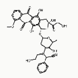 COc1cccc2c1C(=O)c1c(O)c3c(c(O)c1C2=O)C[C@@](O)(C(=O)CO)C[C@@H]3OC1CC(N(CCO)C(C#N)c2ccccc2)C(O)C(C)O1